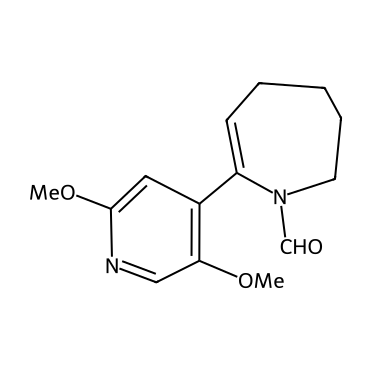 COc1cc(C2=CCCCCN2C=O)c(OC)cn1